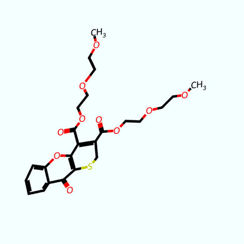 COCCOCCOC(=O)C1=C(C(=O)OCCOCCOC)c2oc3ccccc3c(=O)c2SC1